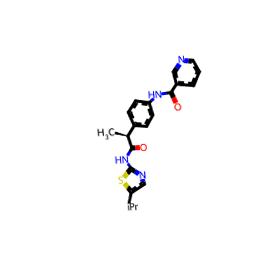 CC(C)c1cnc(NC(=O)[C@@H](C)c2ccc(NC(=O)c3cccnc3)cc2)s1